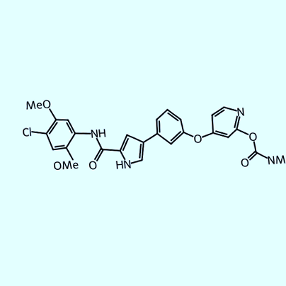 CNC(=O)Oc1cc(Oc2cccc(-c3c[nH]c(C(=O)Nc4cc(OC)c(Cl)cc4OC)c3)c2)ccn1